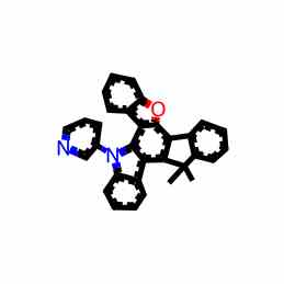 CC1(C)c2ccccc2-c2c1c1c3ccccc3n(-c3cccnc3)c1c1c2oc2ccccc21